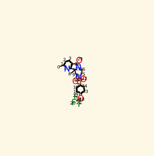 Cc1ccc2c(n1)C1(C)CN(S(=O)(=O)c3ccc(OC(F)(F)F)cc3)CCN1C2=O